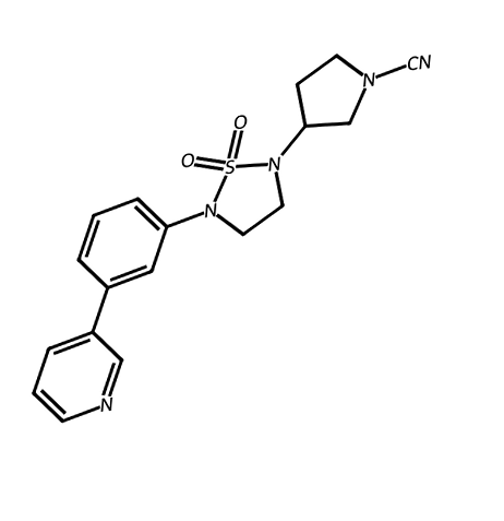 N#CN1CCC(N2CCN(c3cccc(-c4cccnc4)c3)S2(=O)=O)C1